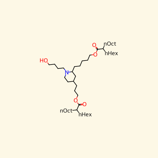 CCCCCCCCC(CCCCCC)C(=O)OCCCCCC1CC(CCCOC(=O)C(CCCCCC)CCCCCCCC)CCN1CCCCO